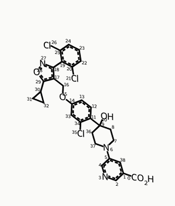 O=C(O)c1cncc(N2CCC(O)(c3ccc(OCc4c(-c5c(Cl)cccc5Cl)noc4C4CC4)cc3Cl)CC2)c1